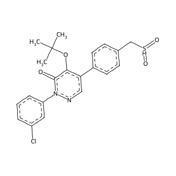 CC(C)(C)Oc1c(-c2ccc(C[SH](=O)=O)cc2)cnn(-c2cccc(Cl)c2)c1=O